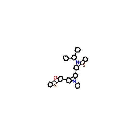 c1ccc(-c2cc(-c3ccccc3)cc(N3c4ccc(-c5ccc6c(c5)c5cc(-c7ccc8c(c7)C7Sc9ccccc9C7O8)ccc5n6-c5ccccc5)cc4C4Sc5ccccc5C43)c2)cc1